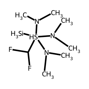 CN(C)[SH]([SiH3])(C(F)F)(N(C)C)N(C)C